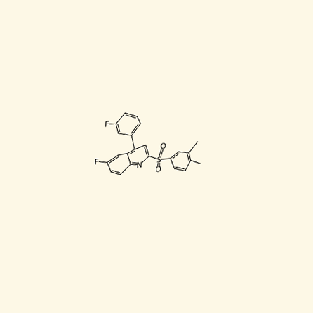 Cc1ccc(S(=O)(=O)c2cc(-c3cccc(F)c3)c3cc(F)ccc3n2)cc1C